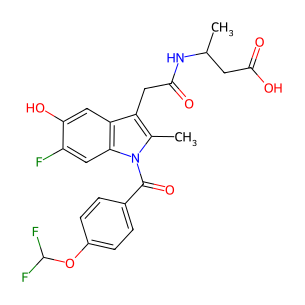 Cc1c(CC(=O)NC(C)CC(=O)O)c2cc(O)c(F)cc2n1C(=O)c1ccc(OC(F)F)cc1